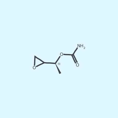 C[C@H](OC(N)=O)C1CO1